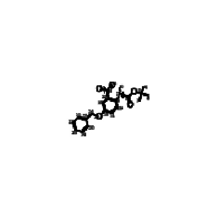 CN(C(=O)OC(C)(C)C)c1ccc(OCc2ccccc2)cc1[N+](=O)[O-]